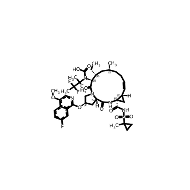 CC[C@@H]1C[C@@H](C)CCC=C[C@@H]2C[C@@]2(C(=O)NS(=O)(=O)C2(C)CC2)NC(=O)[C@@H]2C[C@@H](Oc3ncc(OC)c4ccc(F)cc34)CN2C(=O)[C@H]1N(C(=O)O)C(C)(C)C(C)(F)F